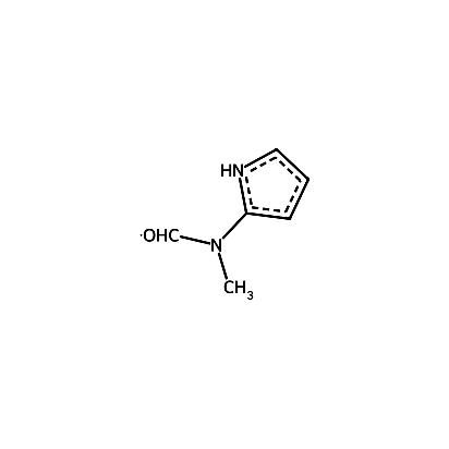 CN([C]=O)c1ccc[nH]1